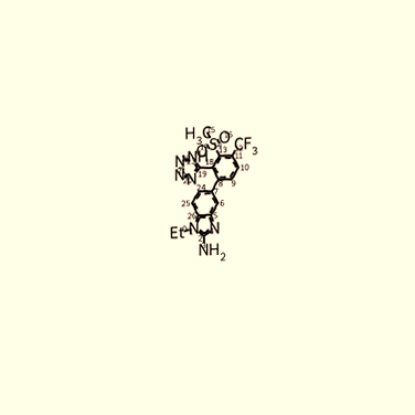 CCn1c(N)nc2cc(-c3ccc(C(F)(F)F)c(S(C)(=O)=O)c3-c3nnn[nH]3)ccc21